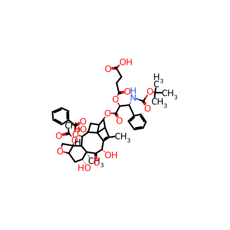 CC(=O)OC12COC1C[C@@H](O)[C@]1(C)C(=O)[C@@H](O)C3=C(C)C4[C@H](OC(=O)[C@@H](OC(=O)CCC(=O)O)[C@H](NC(=O)OC(C)(C)C)c5ccccc5)C5C[C@](O)([C@H](OC(=O)c6ccccc6)[C@@H]21)C354